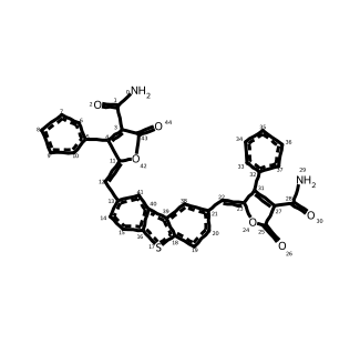 NC(=O)C1=C(c2ccccc2)C(=Cc2ccc3sc4ccc(C=C5OC(=O)C(C(N)=O)=C5c5ccccc5)cc4c3c2)OC1=O